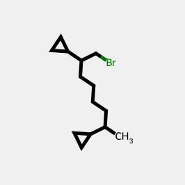 CC(CCCCC(CBr)C1CC1)C1CC1